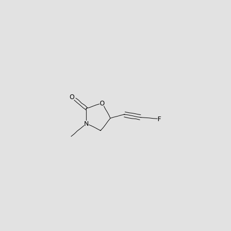 CN1CC(C#CF)OC1=O